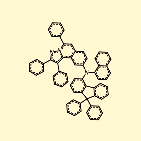 c1ccc(-c2nn3c(-c4ccccc4)cc4ccc(N(c5cccc6c5-c5ccccc5C6(c5ccccc5)c5ccccc5)c5cccc6ccccc56)cc4c3c2-c2ccccc2)cc1